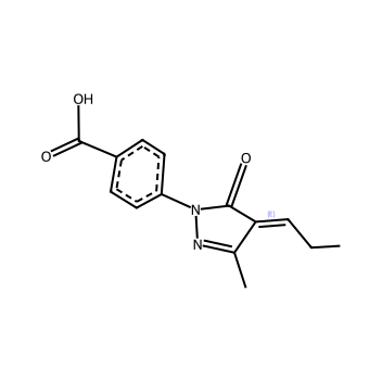 CC/C=C1/C(=O)N(c2ccc(C(=O)O)cc2)N=C1C